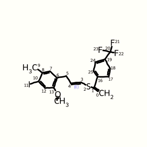 C=C(S/C=C/Cc1cc(C)c(I)cc1OC)c1ccc(C(F)(F)F)cc1